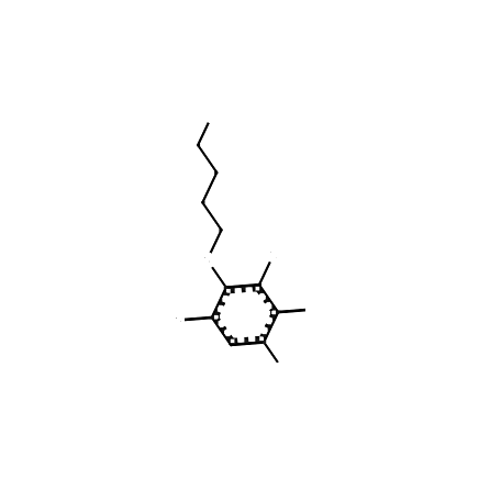 Cc1cc([N+](=O)[O-])c(NCCCCCl)c([N+](=O)[O-])c1C